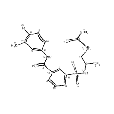 CC(=O)NCC(C)NS(=O)(=O)c1cccc(C(=O)Nc2ccc(F)c(C)c2)c1